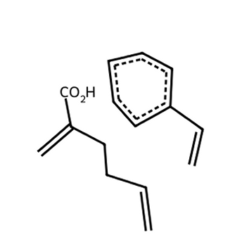 C=CCCC(=C)C(=O)O.C=Cc1ccccc1